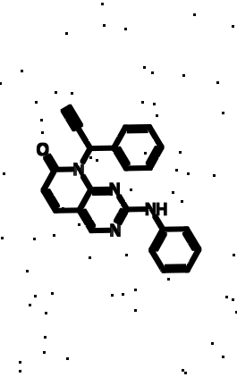 C#CC(c1ccccc1)n1c(=O)ccc2cnc(Nc3ccccc3)nc21